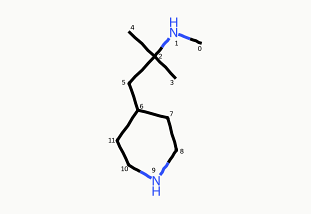 CNC(C)(C)CC1CCNCC1